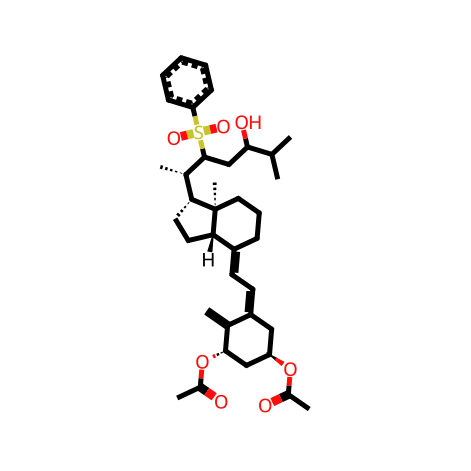 C=C1/C(=C\C=C2/CCC[C@]3(C)[C@@H]([C@H](C)C(CC(O)C(C)C)S(=O)(=O)c4ccccc4)CC[C@@H]23)C[C@@H](OC(C)=O)C[C@@H]1OC(C)=O